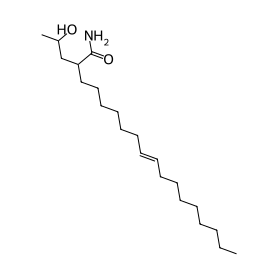 CCCCCCCCC=CCCCCCCC(CC(C)O)C(N)=O